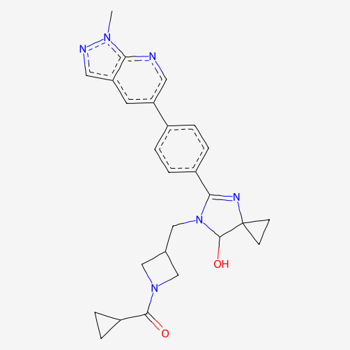 Cn1ncc2cc(-c3ccc(C4=NC5(CC5)C(O)N4CC4CN(C(=O)C5CC5)C4)cc3)cnc21